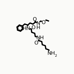 CCOCNC(=O)CCC(Cc1ccccc1)NC(=O)CCCNC(=O)CCCCCN